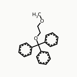 COCCOC(c1ccccc1)(c1ccccc1)c1ccccc1